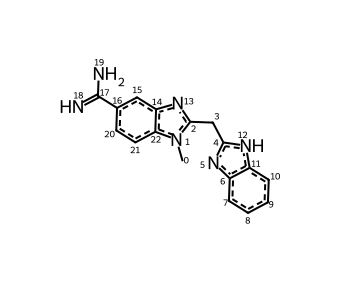 Cn1c(Cc2nc3ccccc3[nH]2)nc2cc(C(=N)N)ccc21